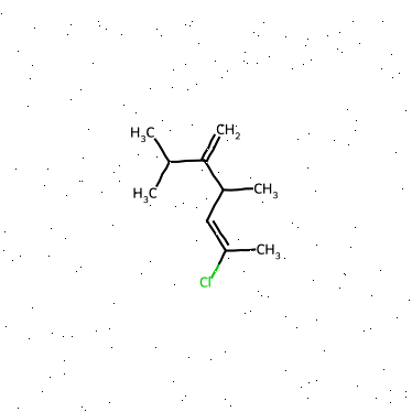 C=C(C(C)C)C(C)/C=C(\C)Cl